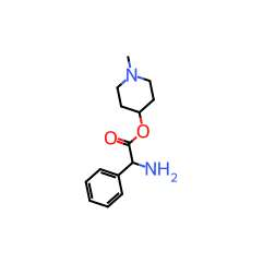 CN1CCC(OC(=O)C(N)c2ccccc2)CC1